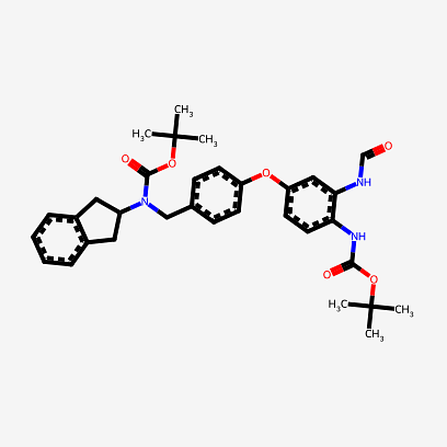 CC(C)(C)OC(=O)Nc1ccc(Oc2ccc(CN(C(=O)OC(C)(C)C)C3Cc4ccccc4C3)cc2)cc1NC=O